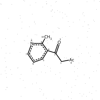 CC(=O)CC(=O)c1cccnc1C